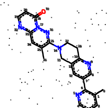 Cc1cccnc1-c1cnc2c(c1)CN(c1nn3c(=O)ccnc3cc1C)CC2